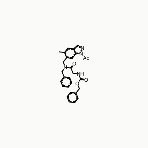 CC(=O)n1ncc2cc(C)c(CN(Cc3ccccc3)C(=O)CNC(=O)OCc3ccccc3)cc21